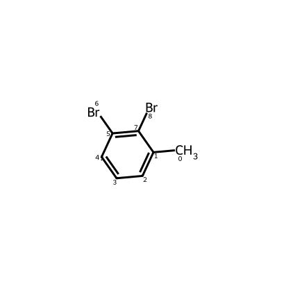 Cc1cc[c]c(Br)c1Br